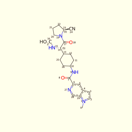 Cn1ccc2cc(C(=O)NC3CCC([C@H](NC(=O)O)C(=O)N4CCC[C@H]4C#N)CC3)ncc21